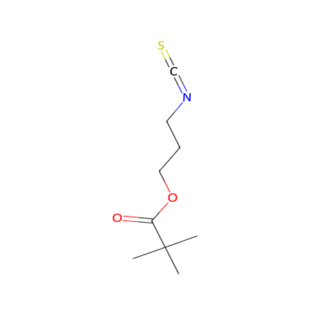 CC(C)(C)C(=O)OCCCN=C=S